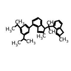 CC1=Cc2c(cccc2C(C)(C)C2C(C)=Cc3c(-c4cc(C(C)C)cc(C(C)C)c4)cccc32)C1